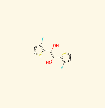 O/C(=C(/O)c1sccc1F)c1sccc1F